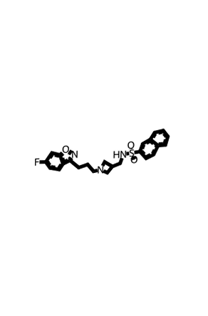 O=S(=O)(NCC1CN(CCCc2noc3cc(F)ccc23)C1)c1ccc2ccccc2c1